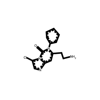 NCCc1cc2ncc(Cl)n2c(=O)n1-c1ccccc1